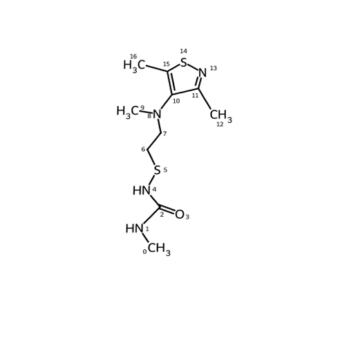 CNC(=O)NSCCN(C)c1c(C)nsc1C